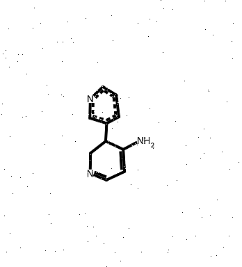 NC1=CC=NCC1c1cccnc1